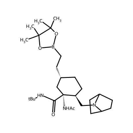 CC(=O)N[C@]1(C(=O)NC(C)(C)C)C[C@H](CCB2OC(C)(C)C(C)(C)O2)CC[C@H]1CN1C2CCC1CC2